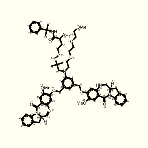 COCCOCCOCCN(CC(C)(C)SSCCC(C(=O)NC(C)(C)c1ccccc1)S(=O)(=O)O)c1cc(COc2cc3c(cc2OC)C(=O)N2c4ccccc4C[C@H]2C=N3)cc(COc2cc3c(cc2OC)C(=O)N2c4ccccc4C[C@H]2CN3)c1